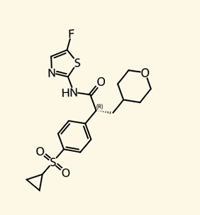 O=C(Nc1ncc(F)s1)[C@H](CC1CCOCC1)c1ccc(S(=O)(=O)C2CC2)cc1